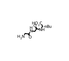 CCCC[C@H](NC(=O)CNC(=O)CN)C(=O)O